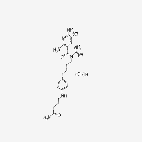 Cl.Cl.N=C(N)N(CCCCc1ccc(NCCCC(N)=O)cc1)C(=O)c1nc(Cl)c(N)nc1N